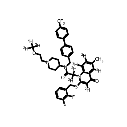 [2H]c1c(C)c([2H])c2c(=O)c([2H])c(SCc3cccc(F)c3F)n(C([2H])([2H])C(=O)N(Cc3ccc(-c4ccc(C(F)(F)F)cc4)cc3)C3CCN(CCOC([2H])([2H])[2H])CC3)c2c1[2H]